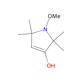 CON1C(C)(C)C=C(O)C1(C)C